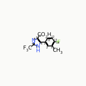 Cc1cc(-c2[nH]c(C(F)(F)F)nc2C(=O)O)ccc1F